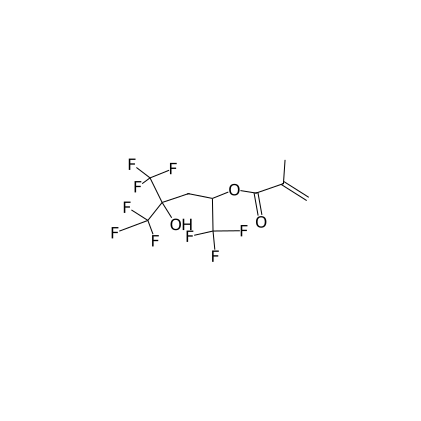 C=C(C)C(=O)OC(CC(O)(C(F)(F)F)C(F)(F)F)C(F)(F)F